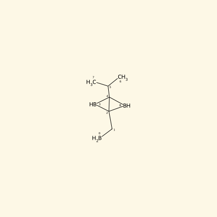 BCC12BC1(C(C)C)B2